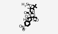 CSC1(C=O)S[C@@H]2[C@@H]([C@](C)(O[SiH3])C(C)C(C)(C)C)C(=O)N2C1(Cc1ccc([N+](=O)[O-])cc1)C(=O)O